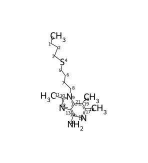 CCCCSCCCCn1c(C)nc2c(N)nc(C)c(C)c21